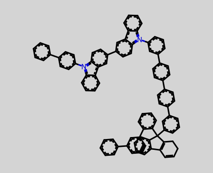 c1cc(-c2ccccc2)cc(-c2ccccc2C2(c3cccc(-c4ccc(-c5ccc(-c6cccc(-n7c8ccccc8c8cc(-c9ccc%10c(c9)c9ccccc9n%10-c9ccc(-c%10ccccc%10)cc9)ccc87)c6)cc5)cc4)c3)C3=C(C=CCC3)c3ccccc32)c#1